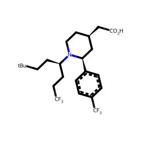 CC(C)(C)CC[C@H](CCC(F)(F)F)N1CC[C@@H](CC(=O)O)C[C@H]1c1ccc(C(F)(F)F)cc1